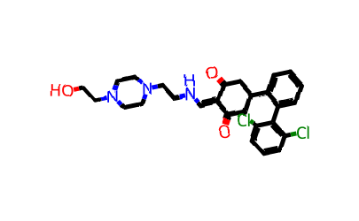 O=C1CC(c2ccccc2-c2c(Cl)cccc2Cl)CC(=O)C1=CNCCN1CCN(CCO)CC1